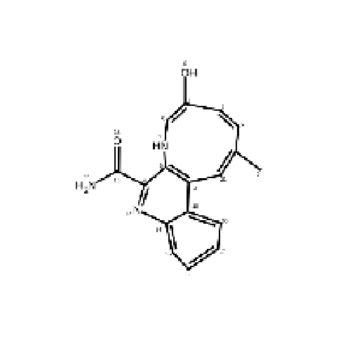 Cc1ccc(O)c[nH]c2c(C(N)=O)nc3ccccc3c2c1